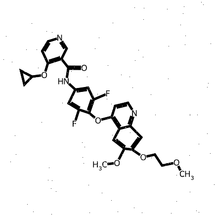 COCCOc1cc2nccc(Oc3c(F)cc(NC(=O)c4cnccc4OC4CC4)cc3F)c2cc1OC